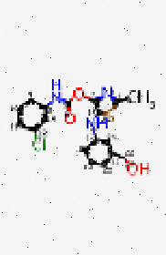 Cc1nc(OC(=O)Nc2cccc(Cl)c2)c(Nc2cccc(CO)c2)s1